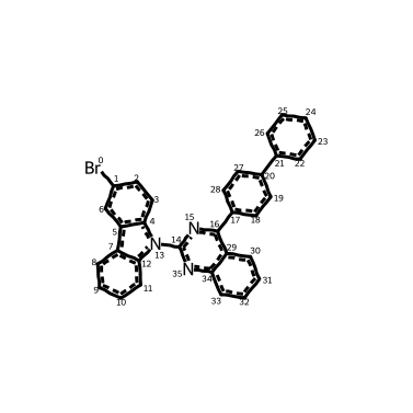 Brc1ccc2c(c1)c1ccccc1n2-c1nc(-c2ccc(-c3ccccc3)cc2)c2ccccc2n1